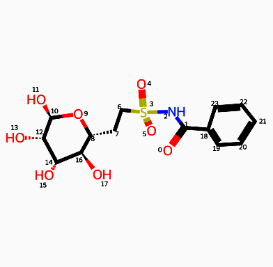 O=C(NS(=O)(=O)CC[C@H]1O[C@H](O)[C@@H](O)[C@@H](O)[C@@H]1O)c1ccccc1